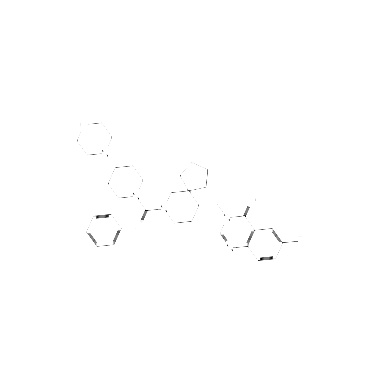 O=C(N1CC[C@@H](Cn2cnc3ccc(F)cc3c2=O)C2(CCCC2)C1)N1CC[C@@H](N2CCOCC2)C[C@H]1c1ccccc1